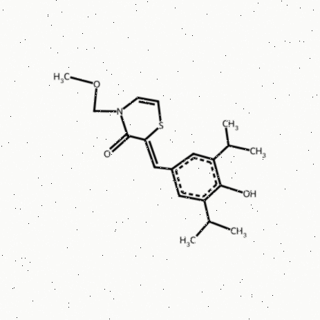 COCN1C=CSC(=Cc2cc(C(C)C)c(O)c(C(C)C)c2)C1=O